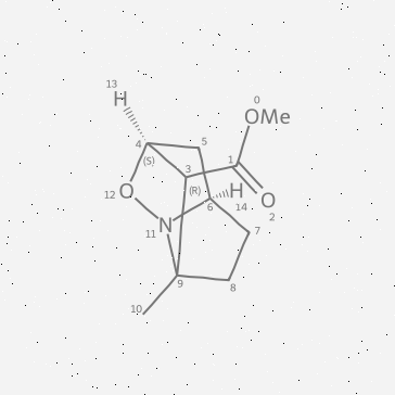 COC(=O)C1[C@@H]2C[C@H]3CCC1(C)N3O2